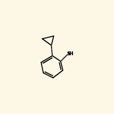 Sc1ccccc1C1CC1